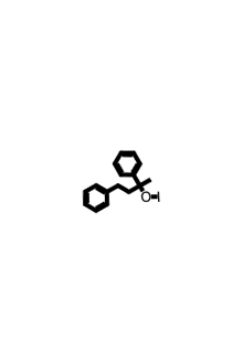 CC(CCc1ccccc1)(OI)c1ccccc1